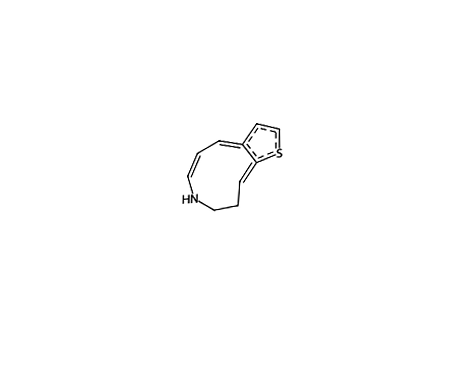 C1=C\NCC\C=c2/scc/c2=C/1